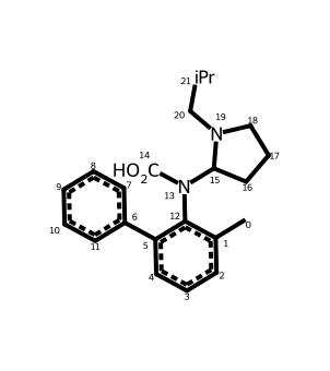 Cc1cccc(-c2ccccc2)c1N(C(=O)O)C1CCCN1CC(C)C